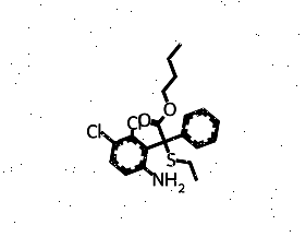 CCCCOC(=O)C(SCC)(c1ccccc1)c1c(N)ccc(Cl)c1Cl